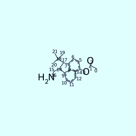 CC(=O)Oc1ccc2c3c(cccc13)C(CN)C2C(C)(C)C